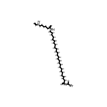 C=CNCCCCCC(=C)NCCCCCCCCCCCCCCCCCCCCCCCCCCC(=C)NC(C)C(C)C